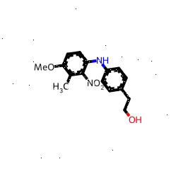 COc1ccc(Nc2ccc(CCO)cc2)c([N+](=O)[O-])c1C